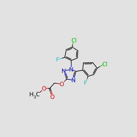 COC(=O)COc1nc(-c2ccc(Cl)cc2F)n(-c2ccc(Cl)cc2F)n1